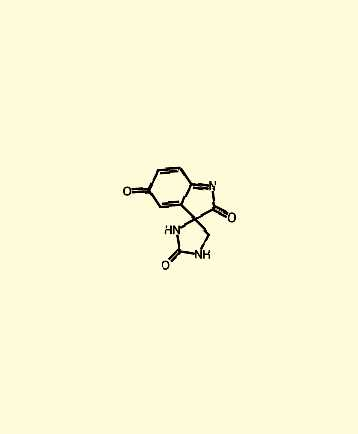 O=C1C=CC2=NC(=O)C3(CNC(=O)N3)C2=C1